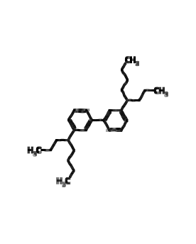 CCCCC(CCC)c1cc[c]c(-c2[c]ccc(C(CCC)CCCC)c2)c1